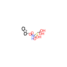 O=C(N[C@@H](CSC[C@@H](O)CO)C(=O)O)OCc1cccc2c1Cc1ccccc1-2